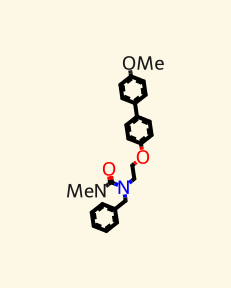 CNC(=O)N(CCOc1ccc(-c2ccc(OC)cc2)cc1)Cc1ccccc1